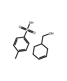 Cc1ccc(S(=O)(=O)O)cc1.OCC1CC=CCC1